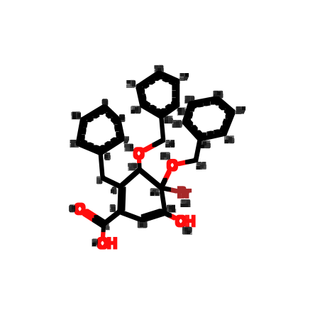 O=C(O)C1=C(Cc2ccccc2)C(OCc2ccccc2)C(Br)(OCc2ccccc2)C(O)=C1